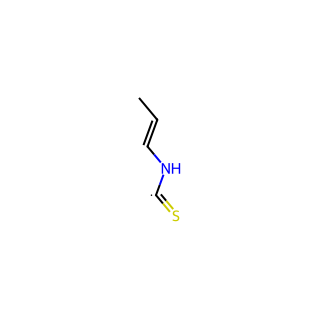 CC=CN[C]=S